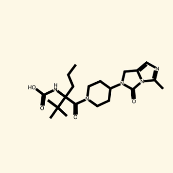 CCCC(NC(=O)O)(C(=O)N1CCC(N2Cc3cnc(C)n3C2=O)CC1)C(C)(C)C